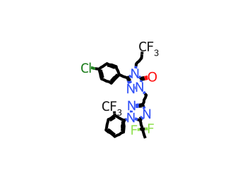 CC(F)(F)c1nc(Cn2nc(-c3ccc(Cl)cc3)n(CCC(F)(F)F)c2=O)nn1-c1ccccc1C(F)(F)F